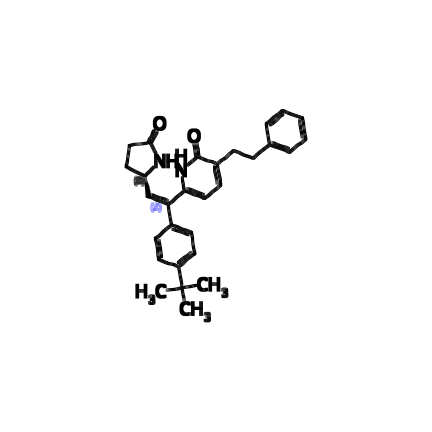 CC(C)(C)c1ccc(/C(=C/[C@H]2CCC(=O)N2)c2ccc(CCc3ccccc3)c(=O)[nH]2)cc1